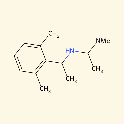 CNC(C)NC(C)c1c(C)cccc1C